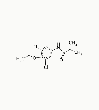 CCOc1c(Cl)cc(NC(=O)C(C)C)cc1Cl